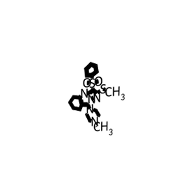 CSc1nn2c(N3CCN(C)CC3)c3c(nc2c1S(=O)(=O)c1ccccc1)CCCC3